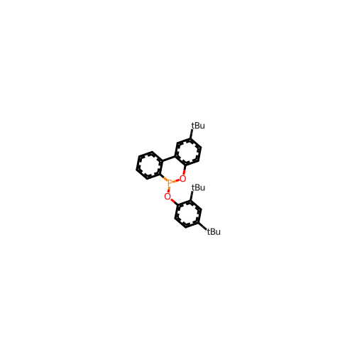 CC(C)(C)c1ccc2c(c1)-c1ccccc1P(Oc1ccc(C(C)(C)C)cc1C(C)(C)C)O2